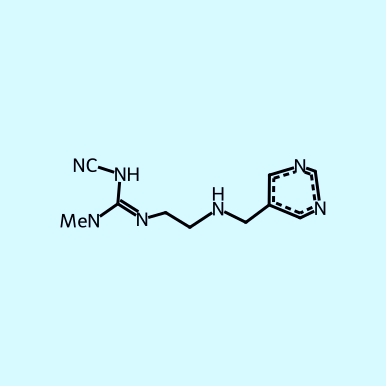 CNC(=NCCNCc1cncnc1)NC#N